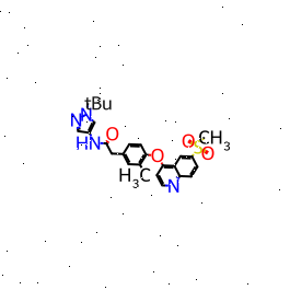 Cc1cc(CC(=O)Nc2cnn(C(C)(C)C)c2)ccc1Oc1ccnc2ccc(S(C)(=O)=O)cc12